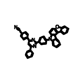 N#Cc1ccc(-c2cc(-c3ccccc3)nc(-c3ccc(-n4c5ccccc5c5c6c(ccc54)oc4ccccc46)cc3)n2)cc1